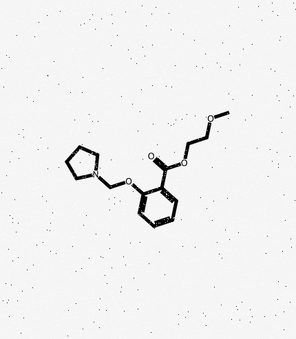 COCCOC(=O)c1ccccc1OCN1CCCC1